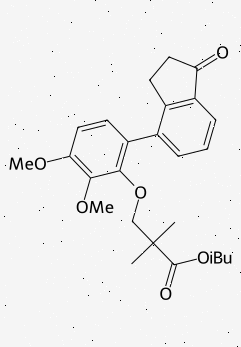 COc1ccc(-c2cccc3c2CCC3=O)c(OCC(C)(C)C(=O)OCC(C)C)c1OC